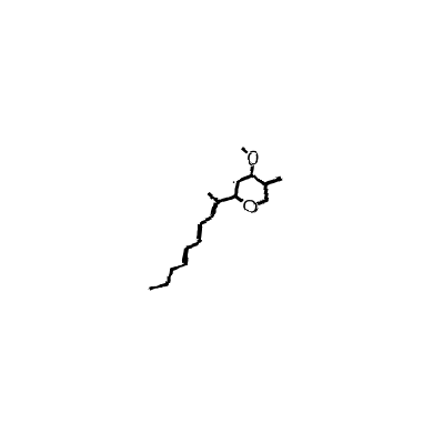 CCC/C=C/C=C/C=C(\C)C1[CH]C(OC)C(C)CO1